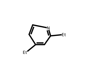 [CH2]Cc1cc(CC)ccn1